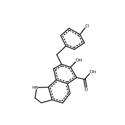 O=C(O)c1c(O)c(Cc2ccc(Cl)cc2)cc2c3c(ccc12)CCN3